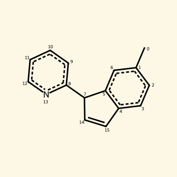 Cc1ccc2c(c1)C(c1ccccn1)C=C2